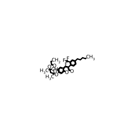 C=CC(=O)OC(C)(C)CC(C)(C)Oc1ccc2cc(-c3ccc(CCCCC)cc3C(F)(F)F)c(=O)oc2c1